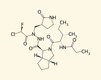 CCC(=O)N[C@H](C(=O)N1C[C@@H]2CCC[C@@H]2[C@H]1C(=O)NN(C[C@@H]1CCNC1=O)C(=O)[C@H](F)Cl)[C@@H](C)CC